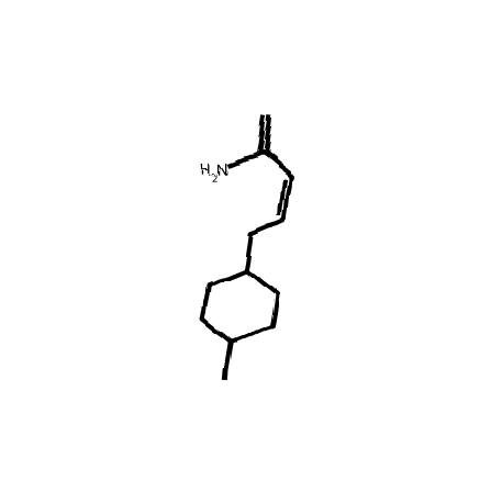 C=C(N)/C=C\CC1CCC(C)CC1